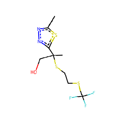 Cc1nnc(C(C)(CO)SCCSC(F)(F)F)s1